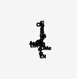 CCN(C(C)=O)c1nc(C)c(S(=O)(=O)N2Cc3cc4c(cc3CC2C(=O)N[C@@H](Cc2ccc(-c3ccc(C#N)cc3)cc2)C(=O)OC)OC[C@H](c2ccc(OCc3ccc(Cl)c(Cl)c3)cc2)O4)s1